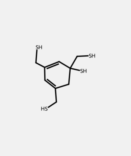 SCC1=CC(S)(CS)CC(CS)=C1